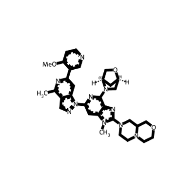 COc1ccncc1-c1cc2c(cnn2-c2cc3c(nc(N4CCN5CCOCC5C4)n3C)c(N3C[C@H]4C[C@@H]3CO4)n2)c(C)n1